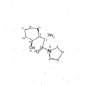 N[C@H](C(=O)N1CCCC1)[C@@H]1CCCC[C@@H]1O